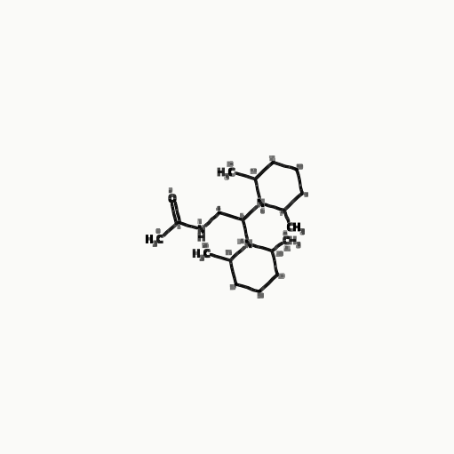 CC(=O)NCC(N1C(C)CCCC1C)N1C(C)CCCC1C